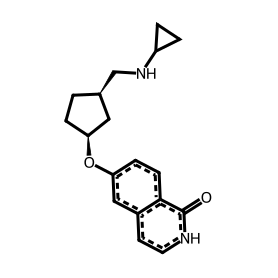 O=c1[nH]ccc2cc(O[C@H]3CC[C@@H](CNC4CC4)C3)ccc12